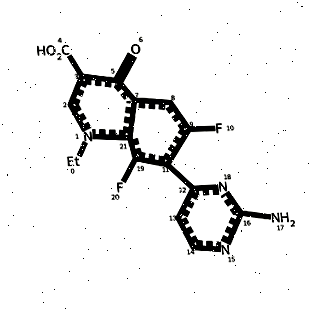 CCn1cc(C(=O)O)c(=O)c2cc(F)c(-c3ccnc(N)n3)c(F)c21